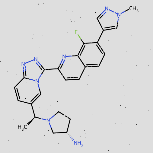 C[C@@H](c1ccc2nnc(-c3ccc4ccc(-c5cnn(C)c5)c(F)c4n3)n2c1)N1CC[C@H](N)C1